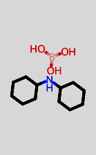 C1CCC(NC2CCCCC2)CC1.OB(O)O